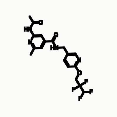 CC(=O)Nc1cc(C(=O)NCc2ccc(OCC(F)(F)C(F)F)nc2)cc(C)n1